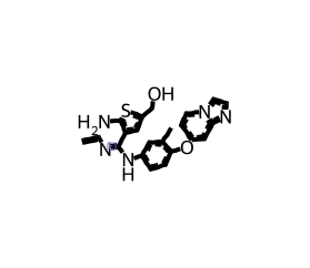 C=C/N=C(/Nc1ccc(Oc2ccn3ccnc3c2)c(C)c1)c1cc(CO)sc1N